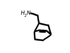 NCC1CC2C=CC1CC2